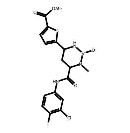 COC(=O)c1ccc(C2CC(C(=O)Nc3ccc(F)c(Cl)c3)N(C)[S+]([O-])N2)s1